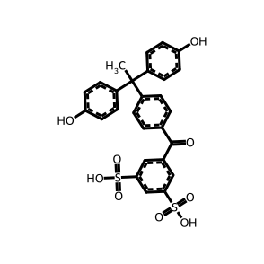 CC(c1ccc(O)cc1)(c1ccc(O)cc1)c1ccc(C(=O)c2cc(S(=O)(=O)O)cc(S(=O)(=O)O)c2)cc1